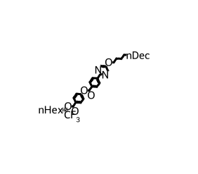 CCCCCCCCCCCCCCOc1cnc(-c2ccc(C(=O)Oc3ccc(C(=O)O[C@@H](CCCCCC)C(F)(F)F)cc3)cc2)nc1